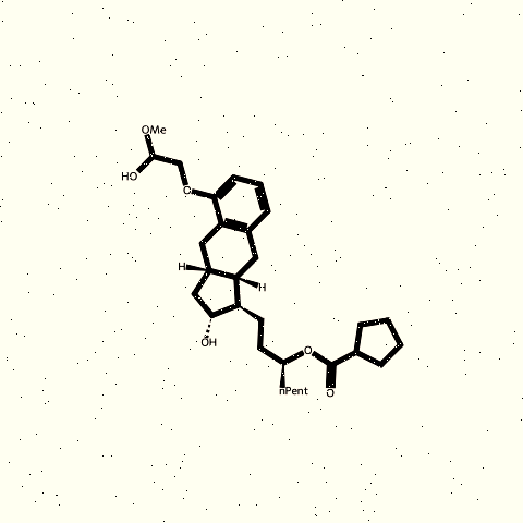 CCCCC[C@@H](CC[C@@H]1[C@H]2Cc3cccc(OCC(O)OC)c3C[C@H]2C[C@H]1O)OC(=O)C1CCCC1